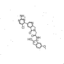 COc1ccc2c(c1)[C@H](NC(=O)CN1Cc3ncc(-c4nc(N)ncc4Cl)cc3C1=O)[C@H](O)C2